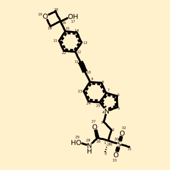 C[C@@](CCn1ccc2cc(C#Cc3ccc(C4(O)COC4)cc3)ccc21)(C(=O)NO)S(C)(=O)=O